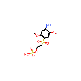 COc1cc(S(=O)(=O)CCOS(=O)(=O)O)c(OC)cc1[NH]